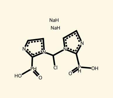 O=[PH](O)c1nccn1C(Cl)n1ccnc1[PH](=O)O.[NaH].[NaH]